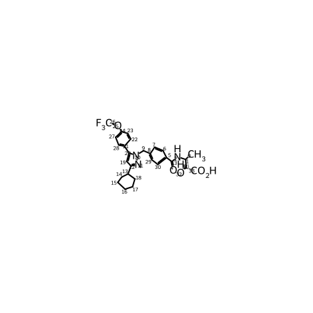 CC(NC(=O)c1ccc(Cn2nc(C3CCCCC3)cc2-c2ccc(OC(F)(F)F)cc2)cc1)[C@@H](O)C(=O)O